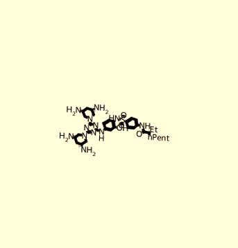 CCCCCC(CC)C(=O)Nc1ccc(S(=O)(=O)Nc2ccc(Nc3nc(N4C[C@H](N)C[C@H](N)C4)nc(N4C[C@H](N)C[C@H](N)C4)n3)cc2O)cc1